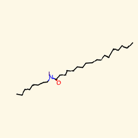 CCCCCCCCCCCCCCCCCC(=O)N(I)CCCCCCCC